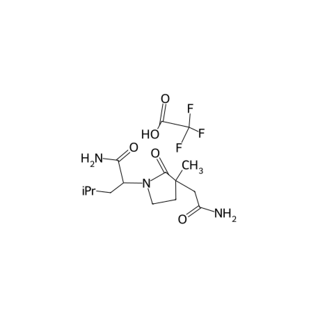 CC(C)CC(C(N)=O)N1CCC(C)(CC(N)=O)C1=O.O=C(O)C(F)(F)F